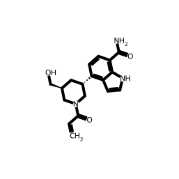 C=CC(=O)N1C[C@@H](CO)C[C@H](c2ccc(C(N)=O)c3[nH]ccc23)C1